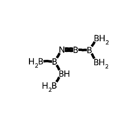 BBB(B)/N=B/B(B)B